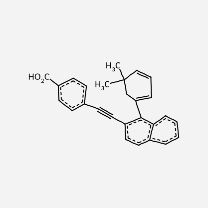 CC1(C)C=CC=C(c2c(C#Cc3ccc(C(=O)O)cc3)ccc3ccccc23)C1